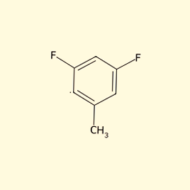 Cc1[c]c(F)cc(F)c1